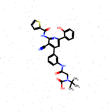 CC(C)(C)N(CC(=O)Nc1cccc(-c2cc(-c3ccccc3O)nc(NC(=O)c3cccs3)c2C#N)c1)C(=O)O